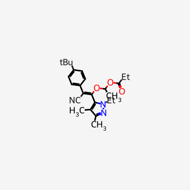 CCC(=O)OC(C)O/C(=C(/C#N)c1ccc(C(C)(C)C)cc1)c1c(C)c(C)nn1CC